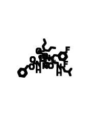 CCCC(CCC)S(=O)(=O)CC(NC(=O)OCc1ccccc1)C(=O)N[C@@H](Cc1cc(F)cc(F)c1)[C@H](O)CNCCC(C)C